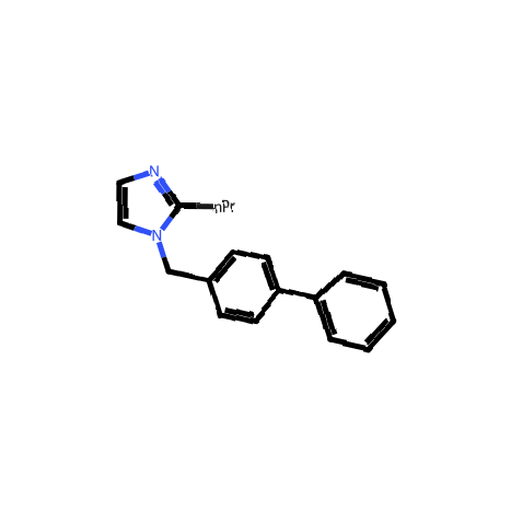 CCCc1nccn1Cc1ccc(-c2ccccc2)cc1